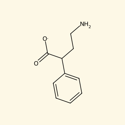 NCCC(C([O])=O)c1ccccc1